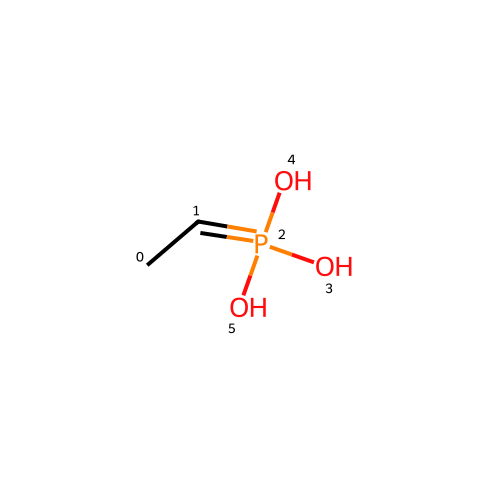 CC=P(O)(O)O